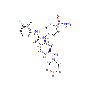 Cc1c(F)cccc1Nc1nc2cnc(NC3CCOCC3)nc2n1[C@H]1CC[C@H](C(N)=O)CC1